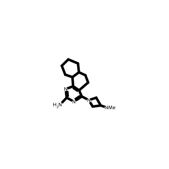 CNC1CN(c2nc(N)nc3c2CCC2CCCCC32)C1